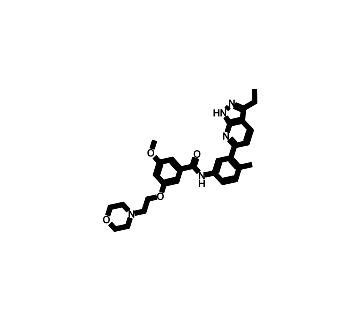 CCc1n[nH]c2nc(-c3cc(NC(=O)c4cc(OC)cc(OCCN5CCOCC5)c4)ccc3C)ccc12